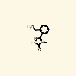 Cn1c(-c2ccccc2CN)n[nH]c1=O